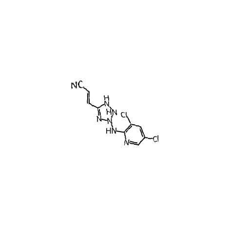 N#CC=CC1=NN(Nc2ncc(Cl)cc2Cl)NN1